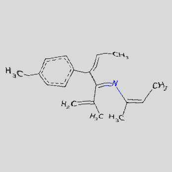 C=C(C)C(=N\C(C)=C/C)/C(=C\C)c1ccc(C)cc1